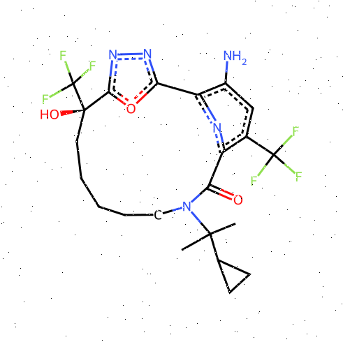 CC(C)(C1CC1)N1CCCCC[C@](O)(C(F)(F)F)c2nnc(o2)-c2nc(c(C(F)(F)F)cc2N)C1=O